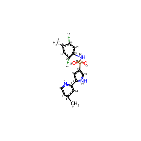 Cc1ccnc(-c2cc(S(=O)(=O)Nc3cc(F)c(C(F)(F)F)cc3F)c[nH]2)c1